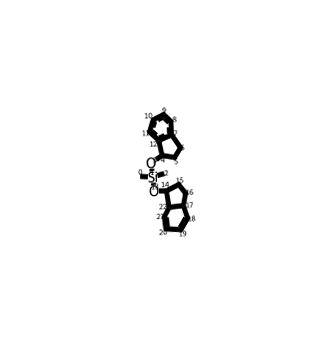 C[Si](C)(OC1CCc2ccccc21)OC1CCC2C=CC=CC21